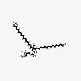 C=C(NCC(C)(COCCCCCCCCCCCCCC)CSCCCCCCCCCCCCCC)OCC(C)CC